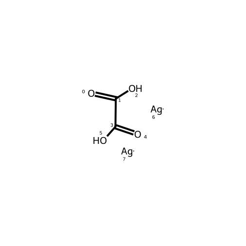 O=C(O)C(=O)O.[Ag].[Ag]